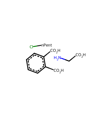 CCCCCCl.NCC(=O)O.O=C(O)c1ccccc1C(=O)O